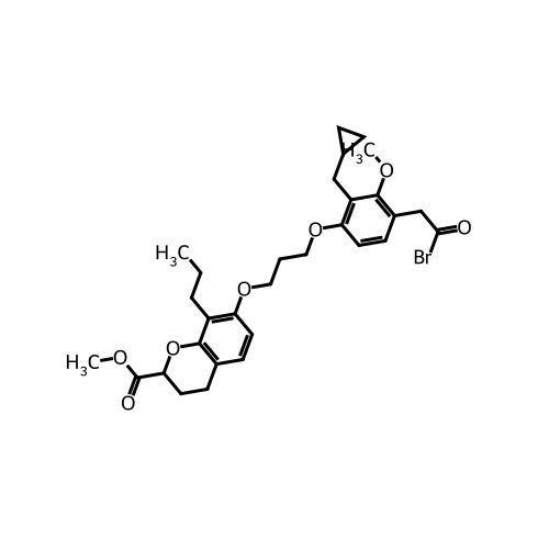 CCCc1c(OCCCOc2ccc(CC(=O)Br)c(OC)c2CC2CC2)ccc2c1OC(C(=O)OC)CC2